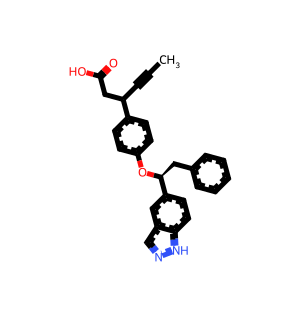 CC#CC(CC(=O)O)c1ccc(O[C@@H](Cc2ccccc2)c2ccc3[nH]ncc3c2)cc1